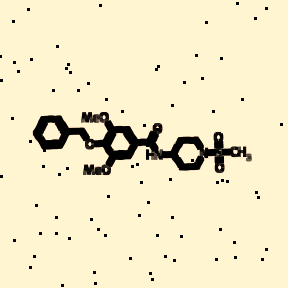 COc1cc(C(=O)NC2CCN(S(C)(=O)=O)CC2)cc(OC)c1OCc1ccccc1